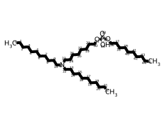 CCCCCCCCCCCN(CCCCCCCCCCC)CCCCCCCCOP(=O)(O)OCCCCCCCCCC